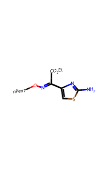 CCCCCON=C(C(=O)OCC)c1csc(N)n1